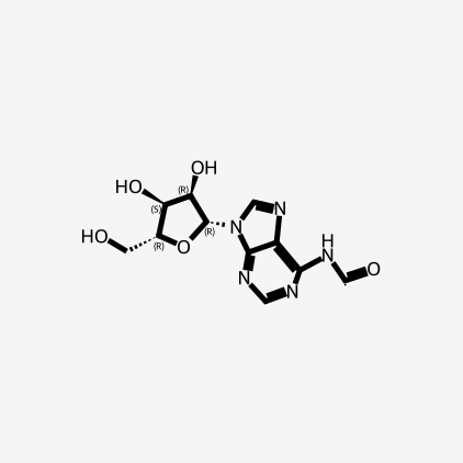 O=[C]Nc1ncnc2c1ncn2[C@@H]1O[C@H](CO)[C@@H](O)[C@H]1O